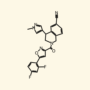 Cn1cc(C2CN(C(=O)c3cc(-c4ccc(F)cc4F)on3)Cc3ccc(C#N)cc32)cn1